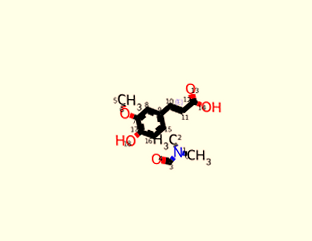 CN(C)C=O.COc1cc(/C=C/C(=O)O)ccc1O